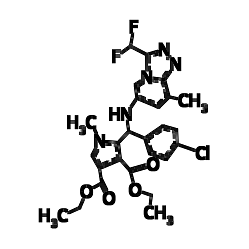 CCOC(=O)c1cn(C)c(C(Nc2cc(C)c3nnc(C(F)F)n3c2)c2ccc(Cl)cc2)c1C(=O)OCC